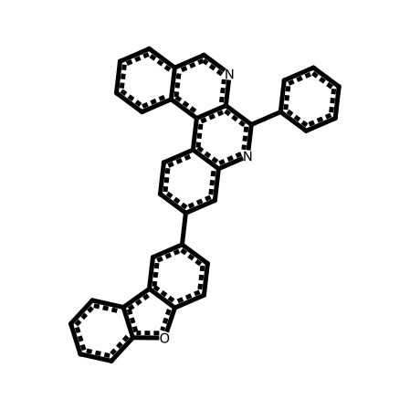 c1ccc(-c2nc3cc(-c4ccc5oc6ccccc6c5c4)ccc3c3c2ncc2ccccc23)cc1